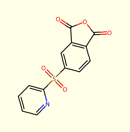 O=C1OC(=O)c2cc(S(=O)(=O)c3ccccn3)ccc21